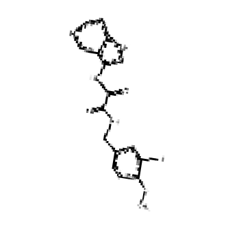 COc1ccc(CNC(=O)C(=O)Nc2c[nH]c3ccncc23)cc1Cl